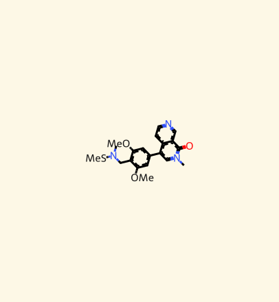 COc1cc(-c2cn(C)c(=O)c3cnccc23)cc(OC)c1CN(C)SC